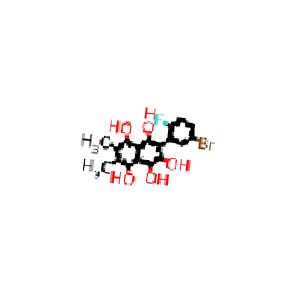 Cc1c(C)c(O)c2c(O)c(-c3cc(Br)ccc3F)c(O)c(O)c2c1O